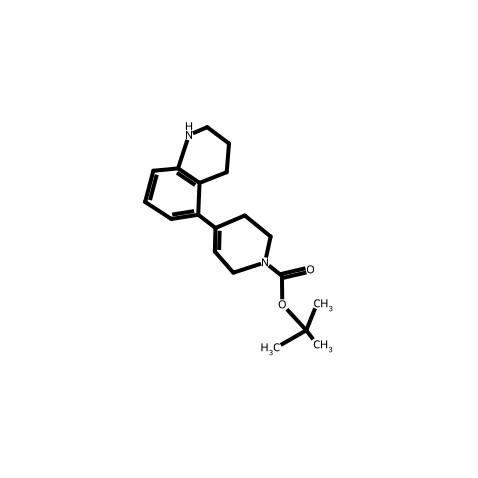 CC(C)(C)OC(=O)N1CC=C(c2cccc3c2CCCN3)CC1